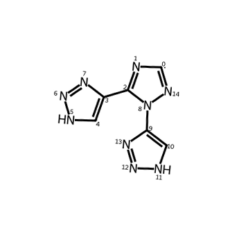 [c]1nc(-c2c[nH]nn2)n(-c2c[nH]nn2)n1